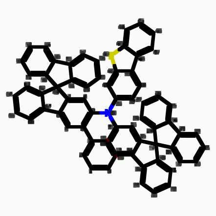 c1ccc(-c2cc3c(cc2N(c2ccc4c(c2)C2(c5ccccc5-c5ccccc52)c2ccccc2-4)c2ccc4c(c2)sc2ccccc24)C2(c4ccccc4-c4ccccc42)c2ccccc2-3)cc1